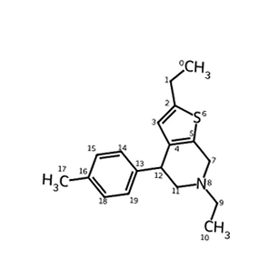 CCc1cc2c(s1)CN(CC)CC2c1ccc(C)cc1